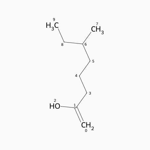 C=C(O)CCCC(C)CC